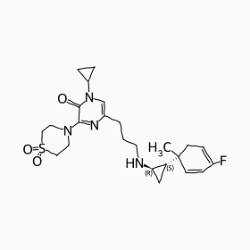 CC1([C@@H]2C[C@H]2NCCCc2cn(C3CC3)c(=O)c(N3CCS(=O)(=O)CC3)n2)C=CC(F)=CC1